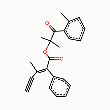 C#CC(C)=C(C(=O)OC(C)(C)C(=O)c1ccccc1C)c1ccccc1